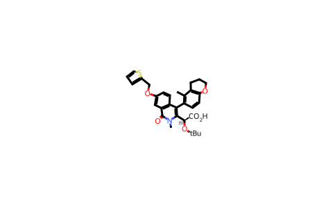 Cc1c(-c2c([C@H](OC(C)(C)C)C(=O)O)n(C)c(=O)c3cc(OCc4cccs4)ccc23)ccc2c1CCCO2